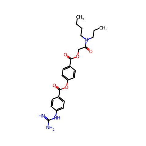 CCCCN(CCC)C(=O)COC(=O)c1ccc(OC(=O)c2ccc(NC(=N)N)cc2)cc1